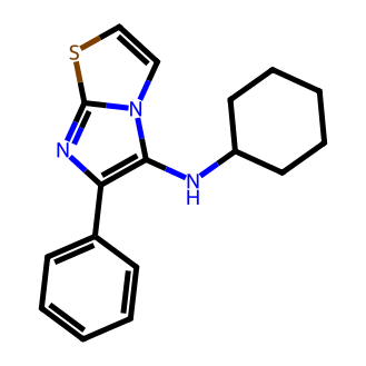 c1ccc(-c2nc3sccn3c2NC2CCCCC2)cc1